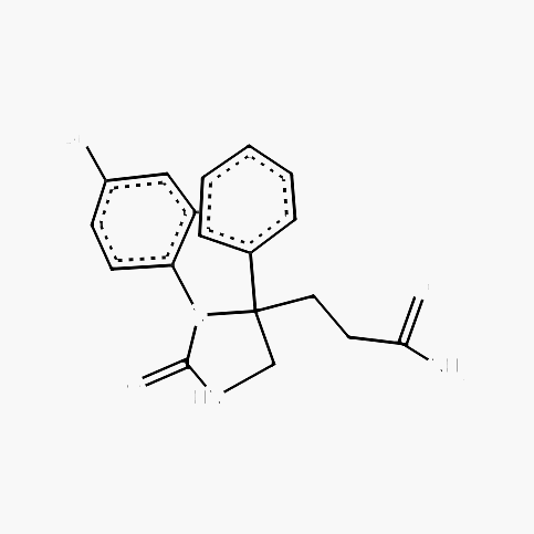 NC(=O)CCC1(c2ccccc2)CNC(=O)N1c1ccc(Br)cc1